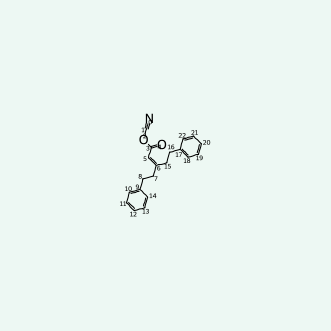 N#COC(=O)C=C(CCc1ccccc1)CCc1ccccc1